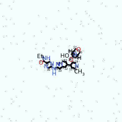 CCNC(=O)c1cnc(Nc2cc3cc(-c4cc(C)ncc4O[C@H]4C[C@H]5COC[C@@H](C4)N5C(=O)O)ccn3n2)cn1